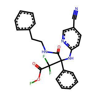 N#Cc1ccc(NC(C(=O)NCCc2ccccc2)(c2ccccc2)C(F)(F)C(=O)OF)nc1